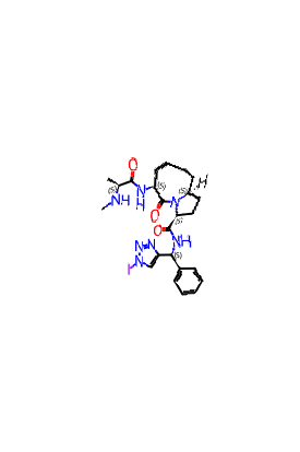 CN[C@@H](C)C(=O)N[C@H]1CCCC[C@H]2CC[C@@H](C(=O)N[C@@H](c3ccccc3)c3cn(I)nn3)N2C1=O